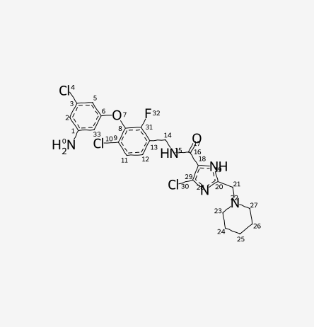 Nc1cc(Cl)cc(Oc2c(Cl)ccc(CNC(=O)c3[nH]c(CN4CCCCC4)nc3Cl)c2F)c1